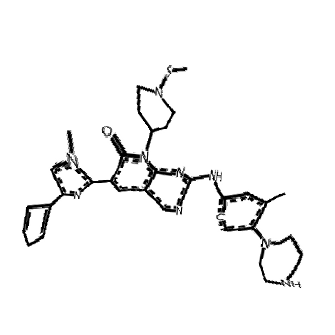 CSN1CCC(n2c(=O)c(-c3nc(C4=CCC=C4)cn3C)cc3cnc(Nc4ccc(N5CCNCC5)c(C)c4)nc32)CC1